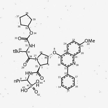 CCCC(NC(=O)[C@@H]1C[C@@H](Oc2cc(-c3ccccc3)nc3cc(OC)ccc23)CN1C(=O)C(NC(=O)OC1CCCC1)C(C)(C)C)P(=O)(O)O